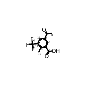 CC(=O)c1cc(C(=O)O)c(C)c(C(F)(F)F)c1